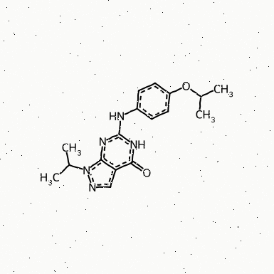 CC(C)Oc1ccc(Nc2nc3c(cnn3C(C)C)c(=O)[nH]2)cc1